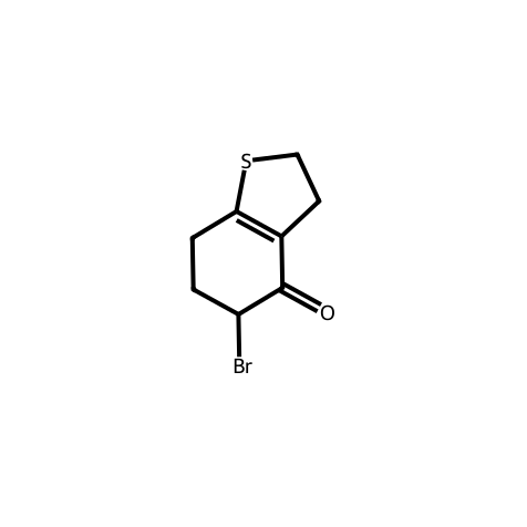 O=C1C2=C(CCC1Br)SCC2